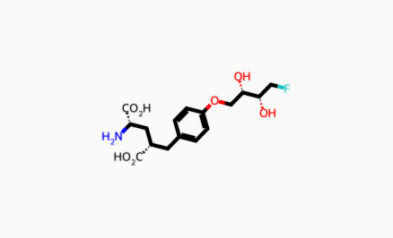 N[C@@H](C[C@H](Cc1ccc(OC[C@H](O)[C@@H](O)CF)cc1)C(=O)O)C(=O)O